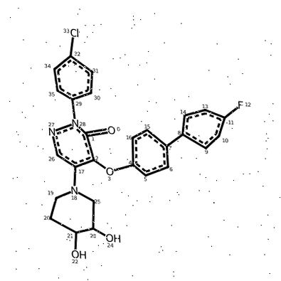 O=c1c(Oc2ccc(-c3ccc(F)cc3)cc2)c(N2CCC(O)C(O)C2)cnn1-c1ccc(Cl)cc1